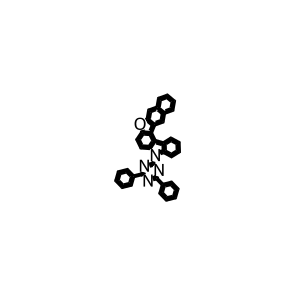 c1ccc(-c2nc(-c3ccccc3)nc(-n3c4ccccc4c4c5c(ccc43)oc3cc4ccccc4cc35)n2)cc1